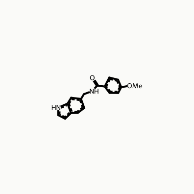 COc1ccc(C(=O)NCc2ccc3cc[nH]c3c2)cc1